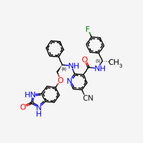 C[C@H](NC(=O)c1cc(C#N)cnc1N[C@@H](COc1ccc2[nH]c(=O)[nH]c2c1)c1ccccc1)c1ccc(F)cc1